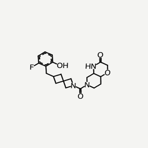 O=C1COC2CCN(C(=O)N3CC4(CC(Cc5c(O)cccc5F)C4)C3)CC2N1